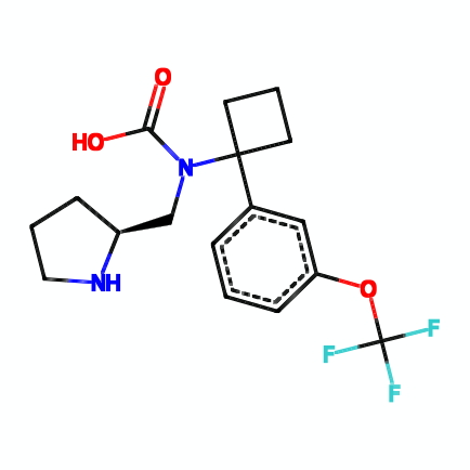 O=C(O)N(C[C@@H]1CCCN1)C1(c2cccc(OC(F)(F)F)c2)CCC1